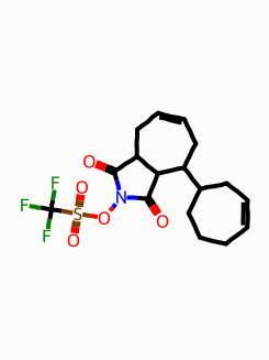 O=C1C2CC=CCC(C3CC=CCCC3)C2C(=O)N1OS(=O)(=O)C(F)(F)F